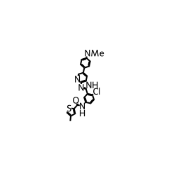 CNc1ccc(-c2cnc3nc(-c4cc(NC(=O)c5cc(C)cs5)ccc4Cl)[nH]c3c2)cc1